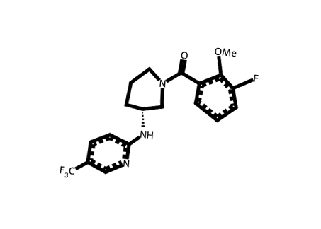 COc1c(F)cccc1C(=O)N1CCC[C@@H](Nc2ccc(C(F)(F)F)cn2)C1